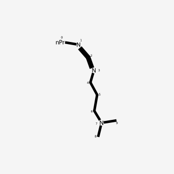 CCCN=C=NCCCN(C)C